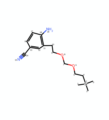 C[Si](C)(C)CCOCOCCc1cc(C#N)ccc1N